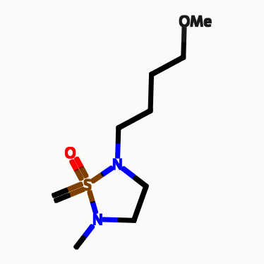 C=S1(=O)N(C)CCN1CCCCOC